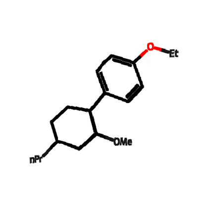 CCCC1CCC(c2ccc(OCC)cc2)C(OC)C1